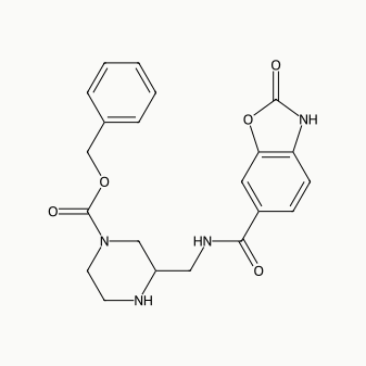 O=C(NCC1CN(C(=O)OCc2ccccc2)CCN1)c1ccc2[nH]c(=O)oc2c1